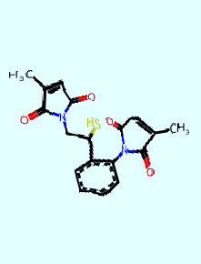 CC1=CC(=O)N(CC(S)c2ccccc2N2C(=O)C=C(C)C2=O)C1=O